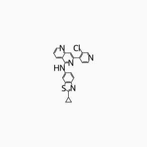 Clc1cnccc1-c1cc2ncccc2c(Nc2ccc3nc(C4CC4)sc3c2)n1